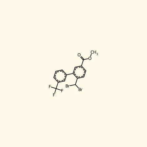 COC(=O)c1ccc(C(Br)Br)c(-c2cccc(C(F)(F)F)c2)c1